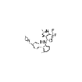 CO/N=C/c1ccc(-c2c(C)cccc2NC(=O)c2sc(C)nc2C(F)(F)F)cc1